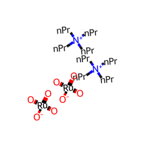 CCC[N+](CCC)(CCC)CCC.CCC[N+](CCC)(CCC)CCC.[O]=[Ru](=[O])(=[O])[O-].[O]=[Ru](=[O])(=[O])[O-]